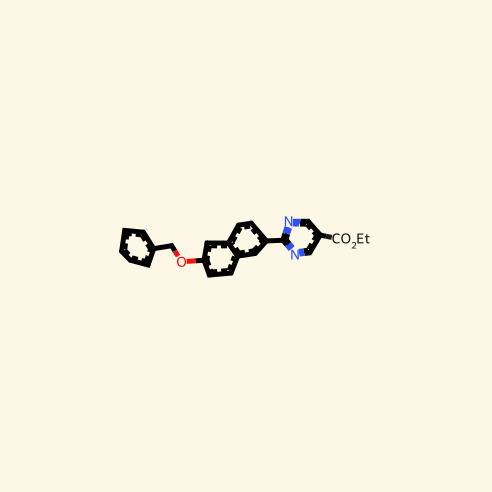 CCOC(=O)c1cnc(-c2ccc3cc(OCc4ccccc4)ccc3c2)nc1